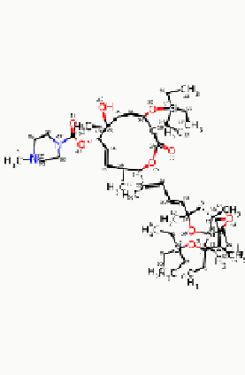 CCC(O[Si](CC)(CC)CC)C(C)[C@@H]1O[C@H]1CC(C)(/C=C/C=C(\C)[C@H]1OC(=O)C[C@H](O[Si](CC)(CC)CC)CC[C@@](C)(O)[C@@H](OC(=O)N2CCN(C)CC2)/C=C/[C@@H]1C)O[Si](CC)(CC)CC